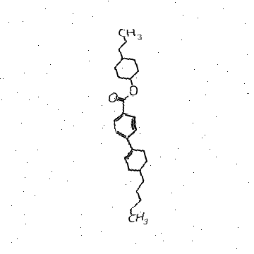 CCCCCC1CC=C(c2ccc(C(=O)OC3CCC(CCC)CC3)cc2)CC1